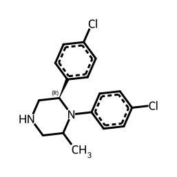 CC1CNC[C@@H](c2ccc(Cl)cc2)N1c1ccc(Cl)cc1